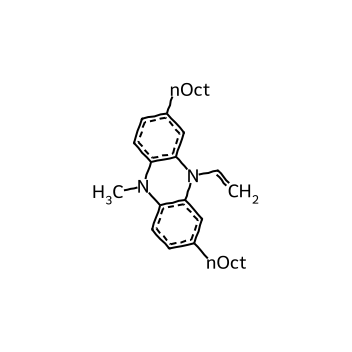 C=CN1c2cc(CCCCCCCC)ccc2N(C)c2ccc(CCCCCCCC)cc21